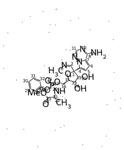 C/N=C\[C@@]1(c2ccc3c(N)ncnn23)O[C@H](COP(=O)(N[C@@H](C)C(=O)OC)Oc2ccccc2)[C@@H](O)[C@H]1O